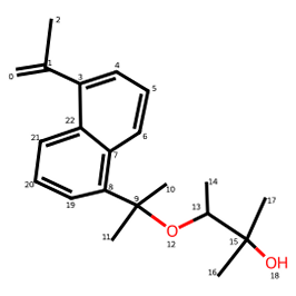 C=C(C)c1cccc2c(C(C)(C)OC(C)C(C)(C)O)cccc12